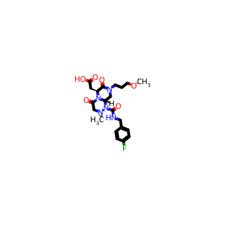 COCCCN1C[C@H]2N(C(=O)CN(C)N2C(=O)NCc2ccc(F)cc2)[C@@H](CC(=O)O)C1=O